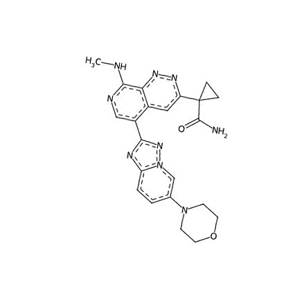 CNc1ncc(-c2nc3ccc(N4CCOCC4)cn3n2)c2cc(C3(C(N)=O)CC3)nnc12